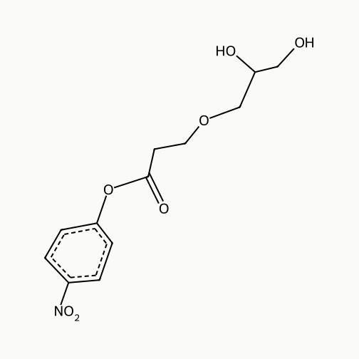 O=C(CCOCC(O)CO)Oc1ccc([N+](=O)[O-])cc1